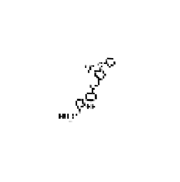 O=C(O)CC1CCc2c1[nH]c1ccc(OCc3ccc(OC4CCCC4)c(C(F)(F)F)c3)cc21